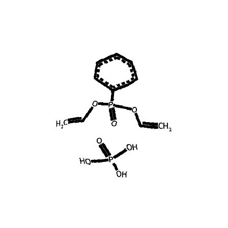 C=COP(=O)(OC=C)c1ccccc1.O=P(O)(O)O